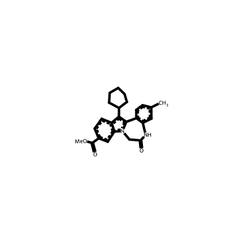 COC(=O)c1ccc2c(C3CCCCC3)c3n(c2c1)CC(=O)Nc1cc(C)ccc1-3